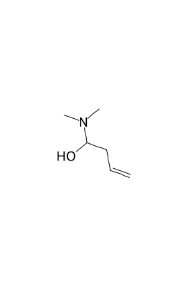 C=CCC(O)N(C)C